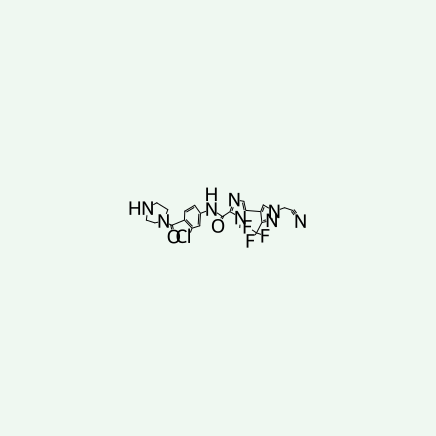 Cn1c(-c2cn(CC#N)nc2C(F)(F)F)cnc1C(=O)Nc1ccc(C(=O)N2CCNCC2)c(Cl)c1